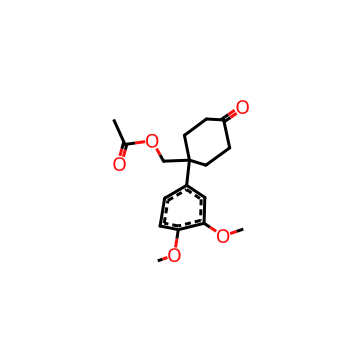 COc1ccc(C2(COC(C)=O)CCC(=O)CC2)cc1OC